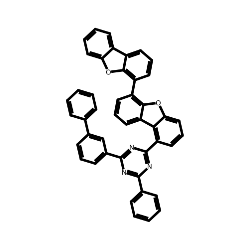 c1ccc(-c2cccc(-c3nc(-c4ccccc4)nc(-c4cccc5oc6c(-c7cccc8c7oc7ccccc78)cccc6c45)n3)c2)cc1